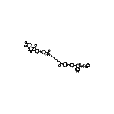 O=C1CCC(N2C(=O)c3ccc(N4CCC(C(=O)NCCCCCCCC(=O)N5CCN(c6ccc(-c7cnc(NCc8ccco8)n8cnnc78)cc6)CC5)CC4)cc3C2=O)C(=O)N1